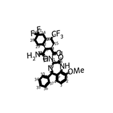 COc1cccc2c1NC(=O)[C@@H](NC(=O)[C@H](CCC(F)(F)F)[C@@H](C(N)=O)C1CCC(F)(F)CC1)N=C2c1ccccc1